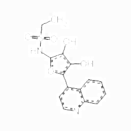 CCS(=O)(=O)Nc1oc(-c2ccnc3ccccc23)c(O)c1O